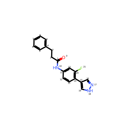 O=C(CCc1ccccc1)Nc1ccc(-c2cn[nH]c2)c(F)c1